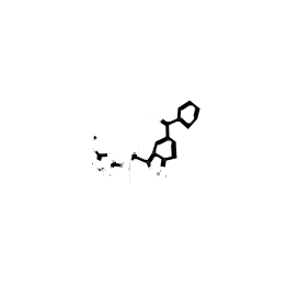 CSc1nnc(NC(=O)c2onc3ccc(C(=O)c4ccccc4)cc23)s1